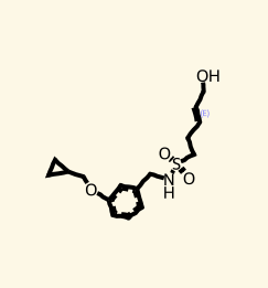 O=S(=O)(CC/C=C/CO)NCc1cccc(OCC2CC2)c1